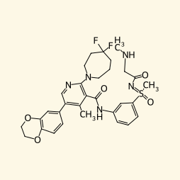 CNCC(=O)N=S(C)(=O)c1cccc(NC(=O)c2c(N3CCCC(F)(F)CC3)ncc(-c3ccc4c(c3)OCCO4)c2C)c1